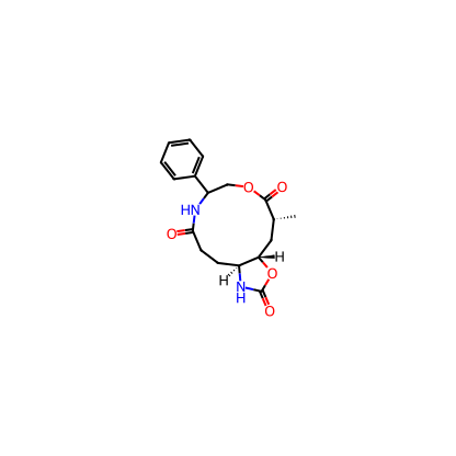 C[C@@H]1C[C@@H]2OC(=O)N[C@H]2CCC(=O)NC(c2ccccc2)COC1=O